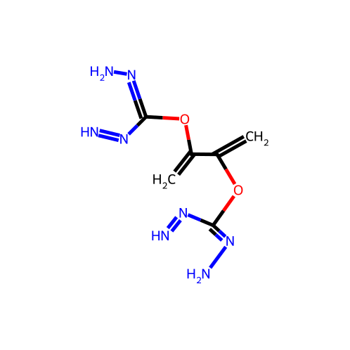 C=C(OC(N=N)=NN)C(=C)OC(N=N)=NN